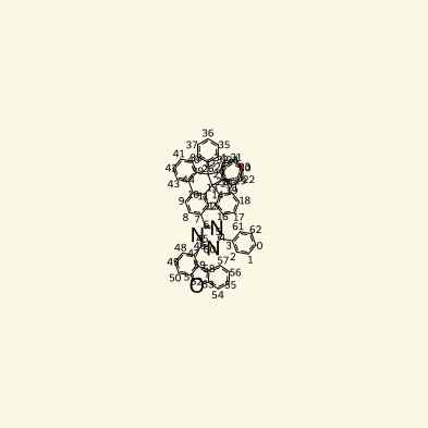 c1ccc(-c2nc(-c3ccc4c(c3)C(c3ccccc3)(c3ccccc3)C(c3ccccc3)(c3ccccc3)c3ccccc3-4)nc(-c3cccc4oc5ccccc5c34)n2)cc1